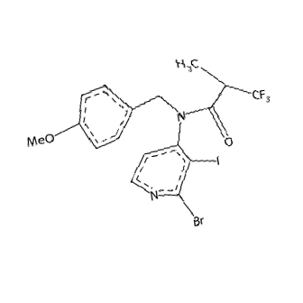 COc1ccc(CN(C(=O)C(C)C(F)(F)F)c2ccnc(Br)c2I)cc1